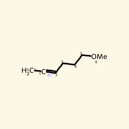 [CH2-]/[C+]=C/CCC[OH+][CH2-]